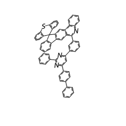 c1ccc(-c2ccc(-c3cc(-c4cccc(-c5nc6ccccc6c6cc7c(cc56)-c5ccccc5C75c6ccccc6Sc6ccccc65)c4)nc(-c4ccccc4)n3)cc2)cc1